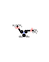 C=C(C)C(=O)OCCCc1ccc(N(c2ccc(CCCOC(=O)C(=C)C)cc2)c2cc(C(C)(C)C)cc(C(C)(C)C)c2)cc1